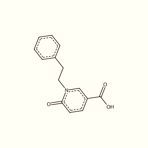 O=C(O)c1ccc(=O)n(CCc2ccccc2)c1